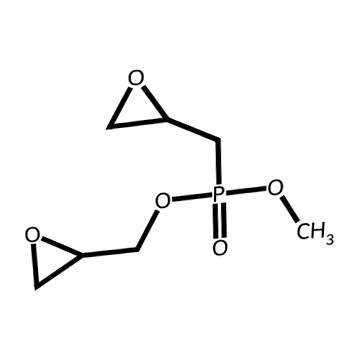 COP(=O)(CC1CO1)OCC1CO1